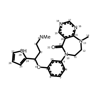 CNCCC(Oc1cccc(N2CCN(C)c3ncncc3C2=O)c1)C1=CC=CB1